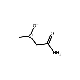 C[S+]([O-])CC(N)=O